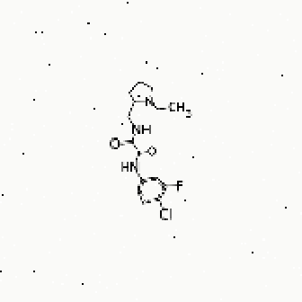 CCN1CCCC1CNC(=O)C(=O)Nc1ccc(Cl)c(F)c1